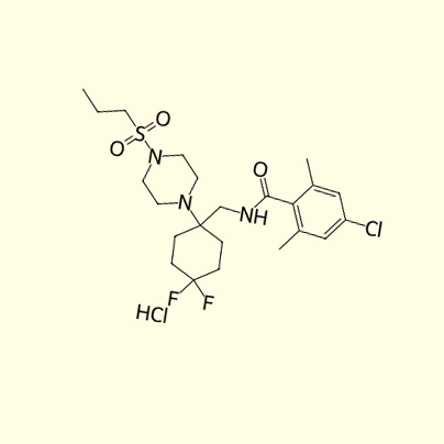 CCCS(=O)(=O)N1CCN(C2(CNC(=O)c3c(C)cc(Cl)cc3C)CCC(F)(F)CC2)CC1.Cl